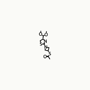 COC(OC)C1CSC(N2CC(SC(C)=O)C2)=N1